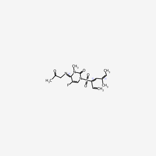 C=C/C(=C\C(C)=C/C)S(=O)(=O)n1cc(F)/c(=N\CC(C)=O)n(C)c1=O